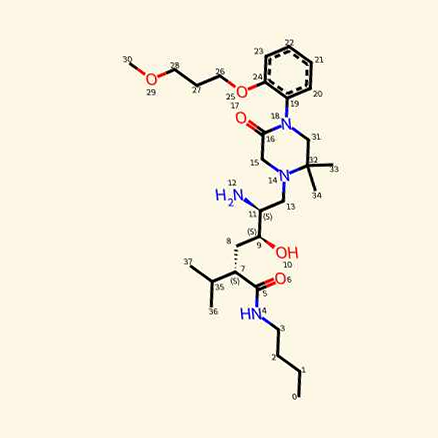 CCCCNC(=O)[C@@H](C[C@H](O)[C@@H](N)CN1CC(=O)N(c2ccccc2OCCCOC)CC1(C)C)C(C)C